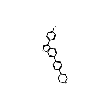 CC(C)c1ccc(-c2coc3cc(-c4ccc(N5CCNCC5)cc4)cnc23)cc1